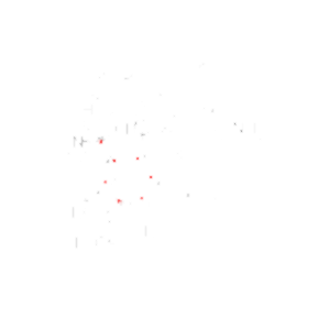 CC(C)(C)c1cc(-c2cccc3c(N)c4ccccc4c(-c4c5ccccc5c(N)c5ccccc45)c23)cc(C(C)(C)C)c1